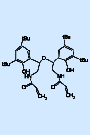 C=CC(=O)NCC(OC(CNC(=O)C=C)c1cc(C(C)(C)C)cc(C(C)(C)C)c1O)c1cc(C(C)(C)C)cc(C(C)(C)C)c1O